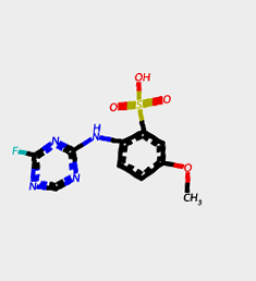 COc1ccc(Nc2ncnc(F)n2)c(S(=O)(=O)O)c1